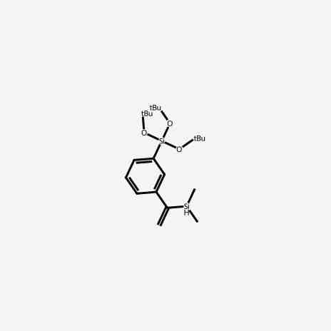 C=C(c1cccc([Si](OC(C)(C)C)(OC(C)(C)C)OC(C)(C)C)c1)[SiH](C)C